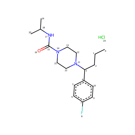 CCCC(c1ccc(F)cc1)N1CCN(C(=O)NC(C)C)CC1.Cl